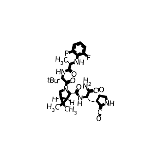 C[C@H](Nc1c(F)cccc1F)C(=O)N[C@H](C(=O)N1C[C@H]2[C@@H]([C@H]1C(=O)N[C@@H](C[C@@H]1CCNC1=C=O)C(N)=C=O)C2(C)C)C(C)(C)C